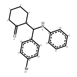 O=C1CCCCC1C(Nc1ccccc1)c1ccc(Br)cc1